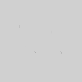 CC(C)C1[C@H]2[C@@H](CN1C)C2(C)C